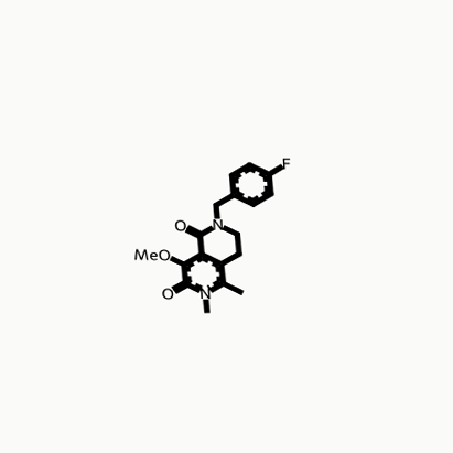 COc1c2c(c(C)n(C)c1=O)CCN(Cc1ccc(F)cc1)C2=O